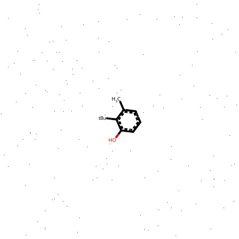 Cc1[c]ccc(O)c1C(C)(C)C